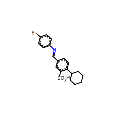 O=C(O)c1cc(/C=N/c2ccc(Br)cc2)ccc1C1CCCCC1